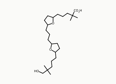 CC(C)(CO)CCCC1CCC(CCCC2CCC(CCCC(C)(C)C(=O)O)O2)O1